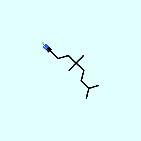 CC(C)CCC(C)(C)CCC#N